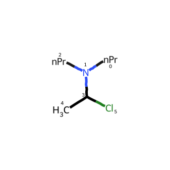 CCCN(CCC)C(C)Cl